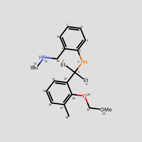 CCC(CC)(Pc1ccccc1CNC(C)(C)C)c1cccc(C)c1OCOC